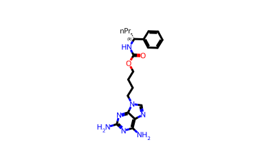 CCC[C@@H](NC(=O)OCCCCn1cnc2c(N)nc(N)nc21)c1ccccc1